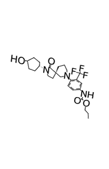 CCCOC(=O)Nc1ccc(N2CCC[C@]3(CCN([C@H]4CC[C@H](O)CC4)C3=O)C2)c(C(F)(F)F)c1